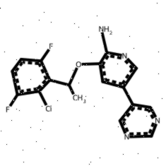 CC(Oc1cc(-c2cncnc2)cnc1N)c1c(F)ccc(F)c1Cl